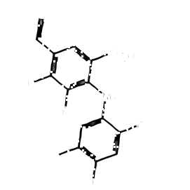 C=Cc1cc(C(=O)O)c(Nc2cc(C)c(I)cc2F)c(F)c1F